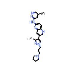 CCCc1nn(CCCN2CCCC2)cc1-c1cnc2ccc(Nc3cc(C(C)C)cnn3)nc2c1